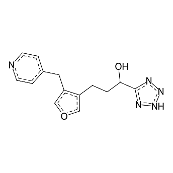 OC(CCc1cocc1Cc1ccncc1)c1nn[nH]n1